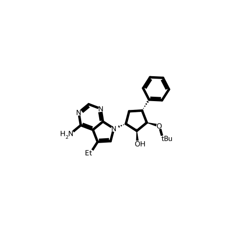 CCc1cn([C@@H]2C[C@H](c3ccccc3)[C@@H](OC(C)(C)C)[C@H]2O)c2ncnc(N)c12